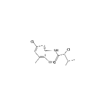 Cc1cc(Cl)cc(NC(=O)C(Cl)C(C)C)c1O